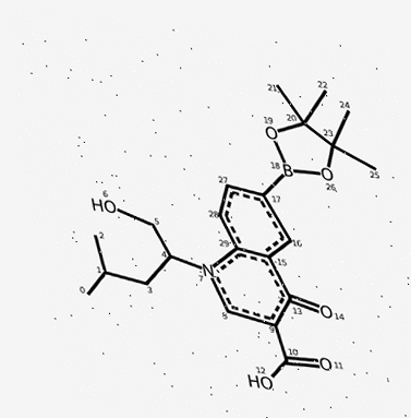 CC(C)CC(CO)n1cc(C(=O)O)c(=O)c2cc(B3OC(C)(C)C(C)(C)O3)ccc21